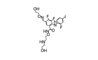 O=C(NOCCNCCO)c1cc(C=NOCCO)c(F)c(F)c1Nc1ccc(I)cc1F